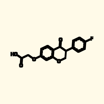 O=C(O)COc1ccc2c(c1)OCC(c1ccc(F)cc1)C2=O